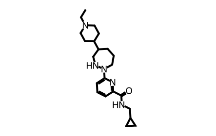 CCN1CCC(C2CCCN(c3cccc(C(=O)NCC4CC4)n3)NC2)CC1